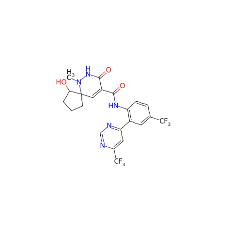 CN1NC(=O)C(C(=O)Nc2ccc(C(F)(F)F)cc2-c2cc(C(F)(F)F)ncn2)=CC12CCCC2O